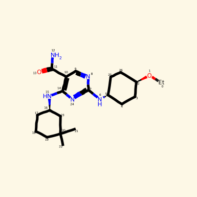 CCO[C@H]1CC[C@H](Nc2ncc(C(N)=O)c(N[C@@H]3CCCC(C)(C)C3)n2)CC1